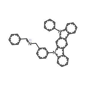 C(=N\Cc1cccc(-n2c3ccccc3c3cc4c5ccccc5n(-c5ccccc5)c4cc32)c1)/c1ccccc1